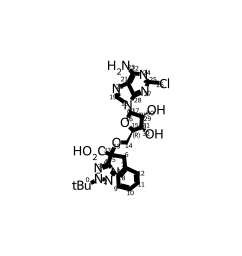 CC(C)(C)n1nnc(C(Cc2ccccc2)(OC[C@H]2O[C@@H](n3cnc4c(N)nc(Cl)nc43)[C@H](O)[C@H]2O)C(=O)O)n1